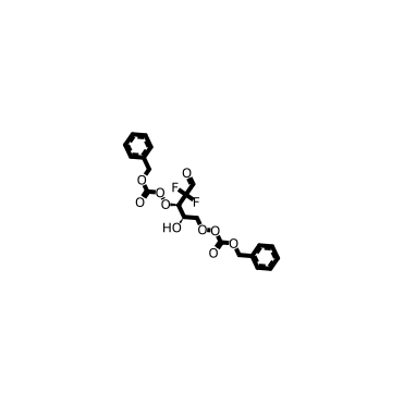 O=CC(F)(F)[C@H](OOC(=O)OCc1ccccc1)[C@@H](O)COOC(=O)OCc1ccccc1